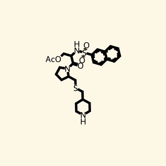 CC(=O)OCC(NS(=O)(=O)c1ccc2ccccc2c1)C(=O)N1CCCC1CSCC1CCNCC1